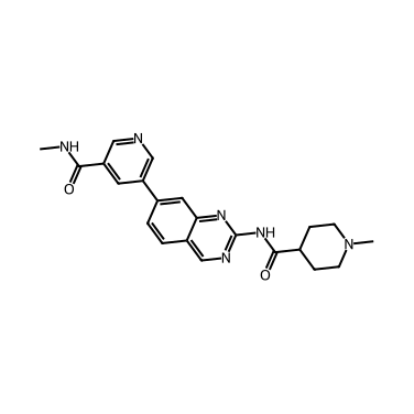 CNC(=O)c1cncc(-c2ccc3cnc(NC(=O)C4CCN(C)CC4)nc3c2)c1